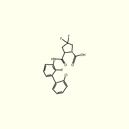 O=C(Nc1cccc(-c2ccccc2Cl)c1F)C1CC(F)(F)CN1C(=O)O